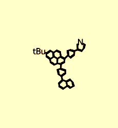 CC(C)(C)c1cc2c3c(c1)C=CC1C(c4ccc(-c5cccc6ccccc56)cc4)=CC(c4ccc(-c5cccnc5)cc4)=C(C=C2)C31